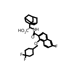 O=C(N[C@H](C(=O)O)C12CC3CC(CC(C3)C1)C2)c1ccc2cc(F)ccc2c1OCC1CCC(F)(F)CC1